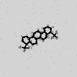 FC(F)(F)c1cccc2c1ccc1c2ccc2c3cccc(C(F)(F)F)c3ccc21